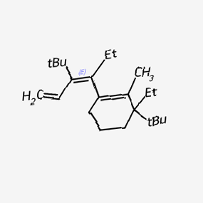 C=C/C(=C(/CC)C1=C(C)C(CC)(C(C)(C)C)CCC1)C(C)(C)C